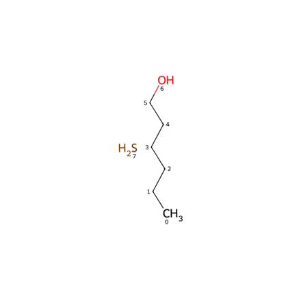 CCCCCCO.S